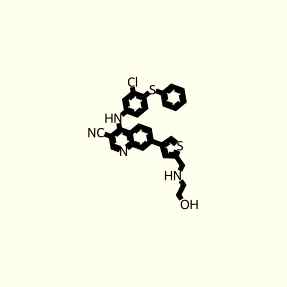 N#Cc1cnc2cc(-c3csc(CNCCO)c3)ccc2c1Nc1ccc(Sc2ccccc2)c(Cl)c1